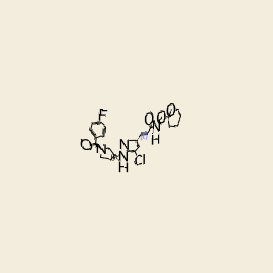 O=C(/C=C/c1cnc(N[C@@H]2CCN(C(=O)c3ccc(F)cc3)C2)c(Cl)c1)NOC1CCCCO1